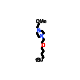 COCCN1CCN(CCOCCCCC(C)(C)C)CC1